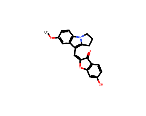 COc1ccc2c(c1)c(C=C1Oc3cc(O)ccc3C1=O)c1n2CCC1